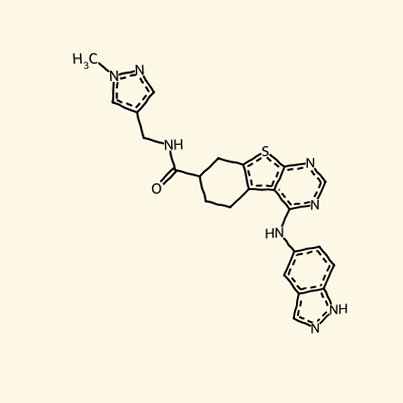 Cn1cc(CNC(=O)C2CCc3c(sc4ncnc(Nc5ccc6[nH]ncc6c5)c34)C2)cn1